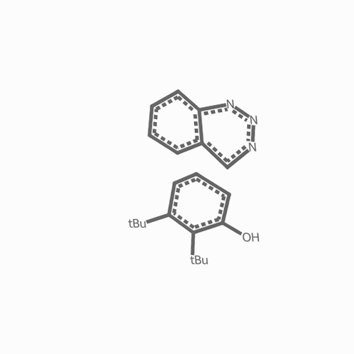 CC(C)(C)c1cccc(O)c1C(C)(C)C.c1ccc2nnncc2c1